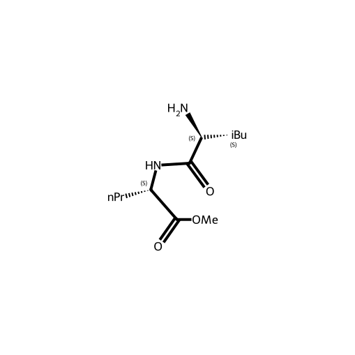 CCC[C@H](NC(=O)[C@@H](N)[C@@H](C)CC)C(=O)OC